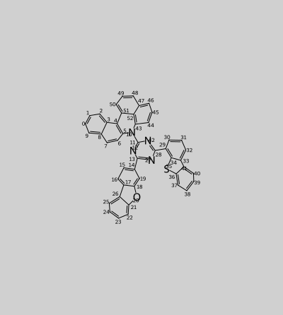 c1ccc2c3c(ccc2c1)N(c1nc(-c2ccc4c(c2)oc2ccccc24)nc(-c2cccc4c2sc2ccccc24)n1)c1cccc2cccc-3c12